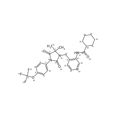 CC1(C)C(=O)N(c2ccc(OC(F)(F)F)cc2)C(=O)N1Cc1ccncc1NC(=O)C1CCCCC1